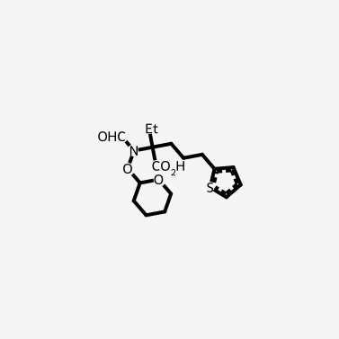 CCC(CCCc1cccs1)(C(=O)O)N(C=O)OC1CCCCO1